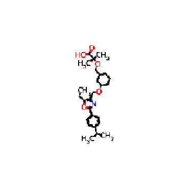 CCc1oc(-c2ccc(C(C)C)cc2)nc1CO[C@H]1CCCC(COC(C)(C)C(=O)O)C1